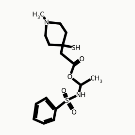 CC(NS(=O)(=O)c1ccccc1)OC(=O)CC1(S)CCN(C)CC1